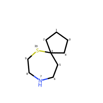 C1CCC2(C1)CCNCCS2